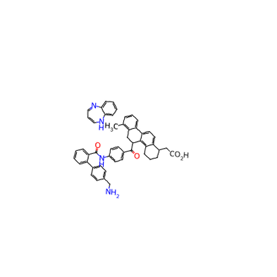 C1=CNc2ccccc2N=C1.Cc1cccc2c1CC(C(=O)c1ccc(NC(=O)c3ccccc3-c3ccc(CN)cc3)cc1)c1c-2ccc2c1CCCC2CC(=O)O